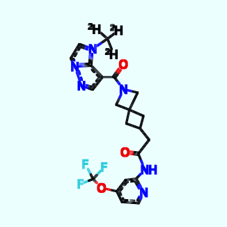 [2H]C([2H])([2H])n1ccn2ncc(C(=O)N3CC4(CC(CC(=O)Nc5cc(OC(F)(F)F)ccn5)C4)C3)c12